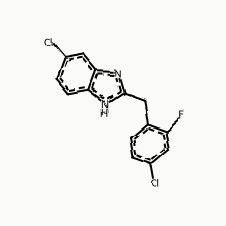 Fc1cc(Cl)ccc1Cc1nc2cc(Cl)ccc2[nH]1